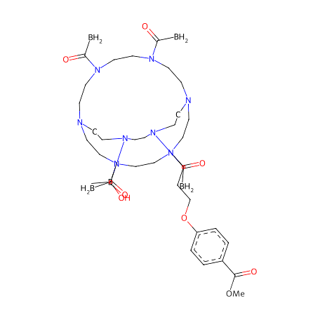 BC(=O)N1CCN2CCN(CCCOc3ccc(C(=O)OC)cc3)CCN(B(C)O)CCN(CCN(C(B)=O)CC1)CCN(C(B)=O)CCN(C(B)=O)CC2